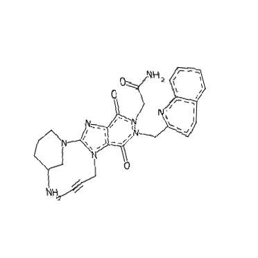 CC#CCn1c(N2CCCC(N)C2)nc2c(=O)n(CC(N)=O)n(Cc3ccc4ccccc4n3)c(=O)c21